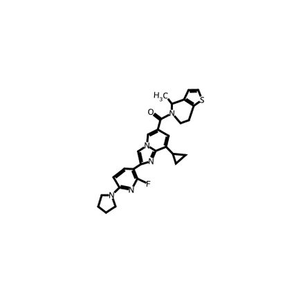 CC1c2ccsc2CCN1C(=O)c1cc(C2CC2)c2nc(-c3ccc(N4CCCC4)nc3F)cn2c1